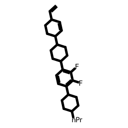 C=CC1C=CC(C2CCC(c3ccc(C4CCC(CCC)CC4)c(F)c3F)CC2)CC1